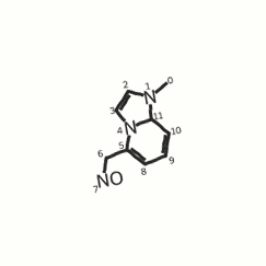 CN1C=CN2C(CN=O)=CC=CC12